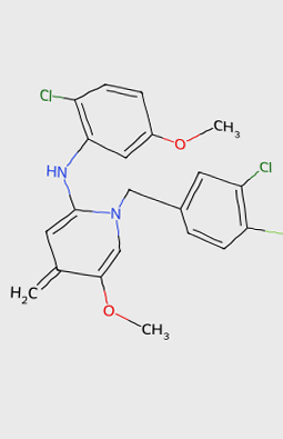 C=C1C=C(Nc2cc(OC)ccc2Cl)N(Cc2ccc(F)c(Cl)c2)C=C1OC